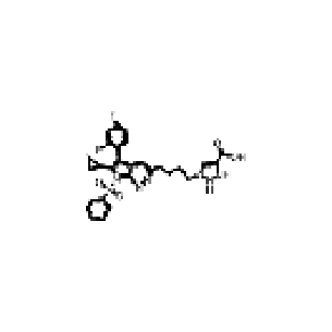 O=C(O)C1=CN(CCCCc2cc3c(-c4ccc(F)cc4F)c(C4CC4)n(S(=O)(=O)c4ccccc4)c3nn2)NN1